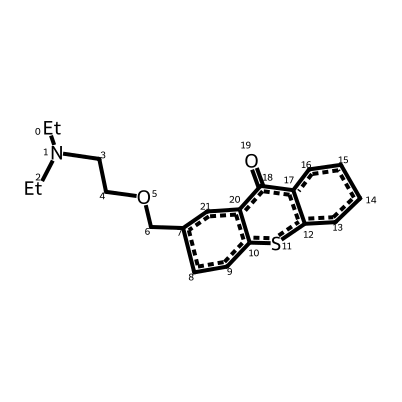 CCN(CC)CCOCc1ccc2sc3ccccc3c(=O)c2c1